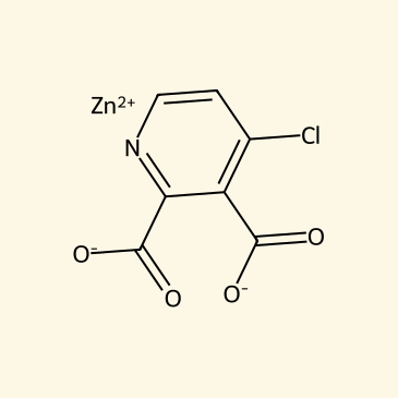 O=C([O-])c1nccc(Cl)c1C(=O)[O-].[Zn+2]